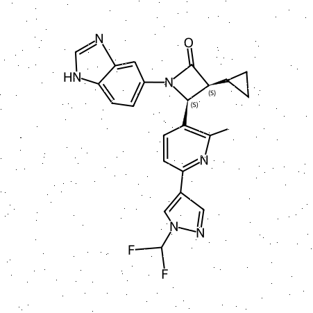 Cc1nc(-c2cnn(C(F)F)c2)ccc1[C@@H]1[C@H](C2CC2)C(=O)N1c1ccc2[nH]cnc2c1